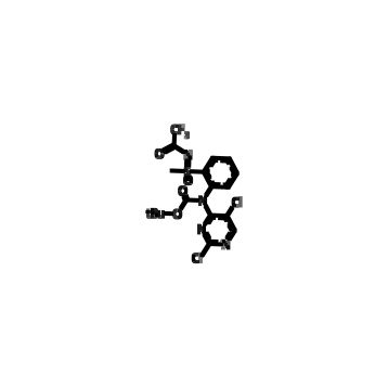 CC(C)(C)OC(=O)N(c1ccccc1S(C)(=O)=NC(=O)C(F)(F)F)c1nc(Cl)ncc1Cl